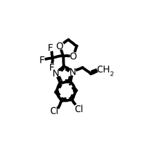 C=CCn1c(C2(C(F)(F)F)OCCO2)nc2cc(Cl)c(Cl)cc21